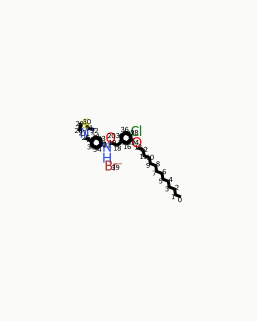 CCCCCCCCCCCCCCOc1cc(CC(=O)Nc2ccc(C[n+]3ccsc3C)cc2)ccc1Cl.[Br-]